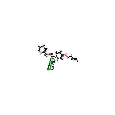 CCCOc1ccc(COSc2ccccc2)cc1.F.F.F.F.F